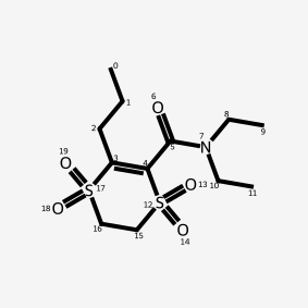 CCCC1=C(C(=O)N(CC)CC)S(=O)(=O)CCS1(=O)=O